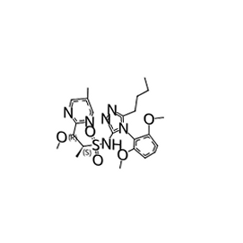 CCCCc1nnc(NS(=O)(=O)[C@@H](C)[C@H](OC)c2ncc(C)cn2)n1-c1c(OC)cccc1OC